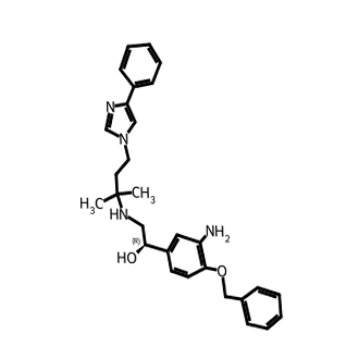 CC(C)(CCn1cnc(-c2ccccc2)c1)NC[C@H](O)c1ccc(OCc2ccccc2)c(N)c1